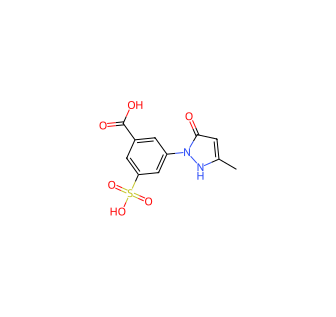 Cc1cc(=O)n(-c2cc(C(=O)O)cc(S(=O)(=O)O)c2)[nH]1